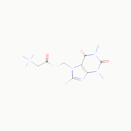 CC[N+](CC)(CC)CC(=O)SCn1c(Cl)nc2c1c(=O)n(C)c(=O)n2C